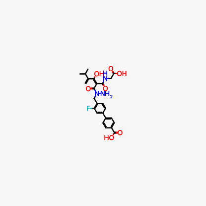 C=C(/C(O)=C(/C(=O)NCC(=O)O)C(=O)N(N)Cc1ccc(-c2ccc(C(=O)O)cc2)cc1F)C(C)C